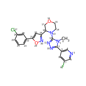 Cn1c(-c2cncc(F)c2)nnc1N1CCOCC1c1cc(-c2cccc(Cl)c2)on1